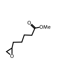 COC(=O)CCCCC1CO1